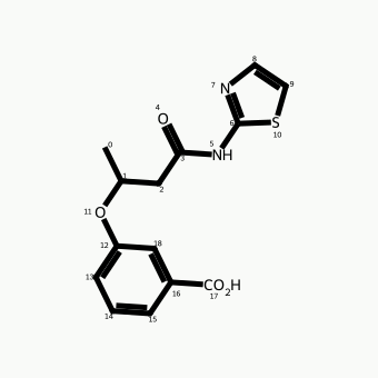 CC(CC(=O)Nc1nccs1)Oc1cccc(C(=O)O)c1